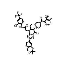 CCc1c(N2CCN(C(=O)c3ncnc(C)c3O)CC2)c(=O)n2nc(-c3ccc4c(c3)CC(C)(C)OC4)nc2n1CC(=O)Nc1ccc(C(F)(F)F)cc1Cl